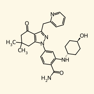 CC1(C)CC(=O)c2c(Cc3ccccn3)nn(-c3ccc(C(N)=O)c(N[C@H]4CC[C@H](O)CC4)c3)c2C1